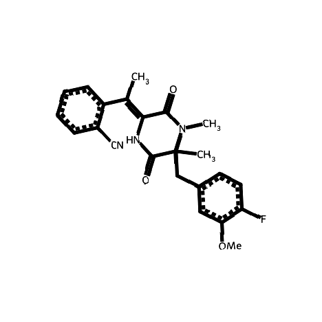 COc1cc(CC2(C)C(=O)NC(=C(C)c3ccccc3C#N)C(=O)N2C)ccc1F